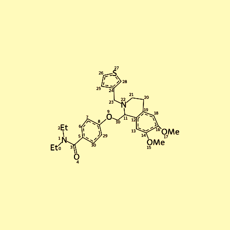 CCN(CC)C(=O)c1ccc(OCC2c3cc(OC)c(OC)cc3CCN2Cc2ccsc2)cc1